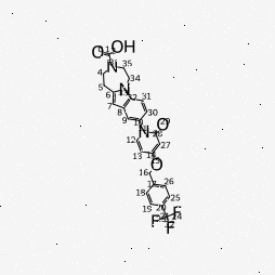 O=C(O)N1CCc2cc3cc(-n4ccc(OCc5ccc(C(F)(F)F)cc5)cc4=O)ccc3n2CC1